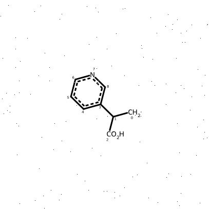 [CH2]C(C(=O)O)c1cccnc1